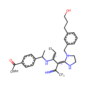 CC/C=C(NC(C)c1ccc(C(=O)OC)cc1)/C(C(=N)C(F)(F)F)=C1/NCCN1Cc1cccc(CCCO)c1